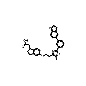 Cc1oc(-c2cccc(-c3ccc4[nH]ccc4c3)c2)nc1CCOc1ccc2c(c1)CCC2CC(=O)O